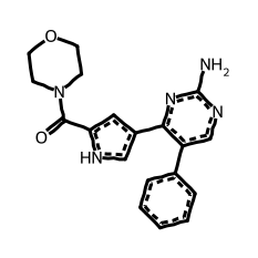 Nc1ncc(-c2ccccc2)c(-c2c[nH]c(C(=O)N3CCOCC3)c2)n1